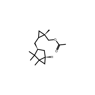 CC(=O)OC[C@@]1(C)CC1C[C@H]1C[C@@H]2CC2(C)C1(C)C